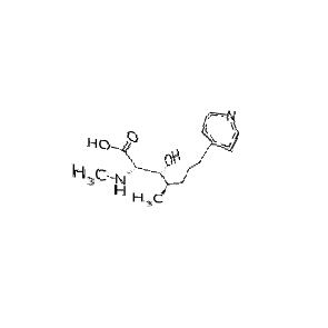 CN[C@H](C(=O)O)[C@H](O)[C@H](C)CCCc1ccncc1